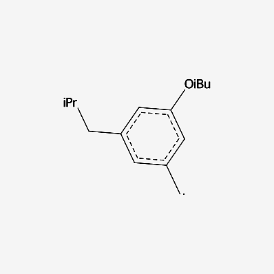 [CH2]c1cc(CC(C)C)cc(OCC(C)C)c1